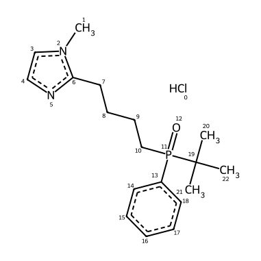 Cl.Cn1ccnc1CCCCP(=O)(c1ccccc1)C(C)(C)C